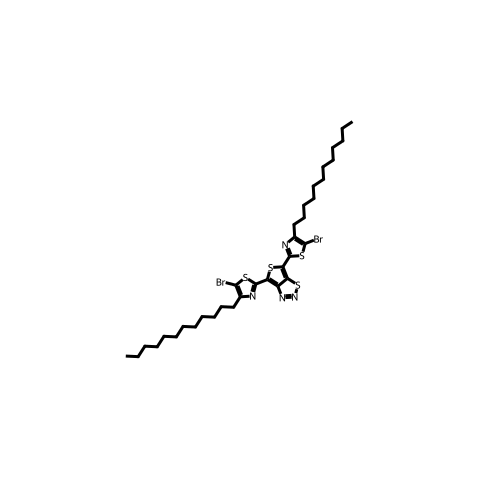 CCCCCCCCCCCCc1nc(-c2sc(-c3nc(CCCCCCCCCCCC)c(Br)s3)c3snnc23)sc1Br